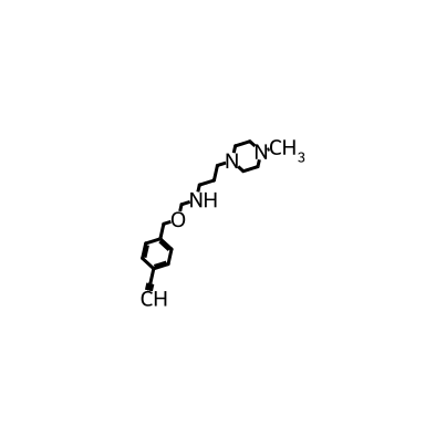 C#Cc1ccc(COCNCCCN2CCN(C)CC2)cc1